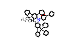 CC1(C)c2ccccc2-c2cc(-c3ccccc3)c(N(c3ccc(-c4ccccc4)cc3)c3ccc4c(c3)C(c3ccccc3)(c3ccccc3)c3ccccc3-4)cc21